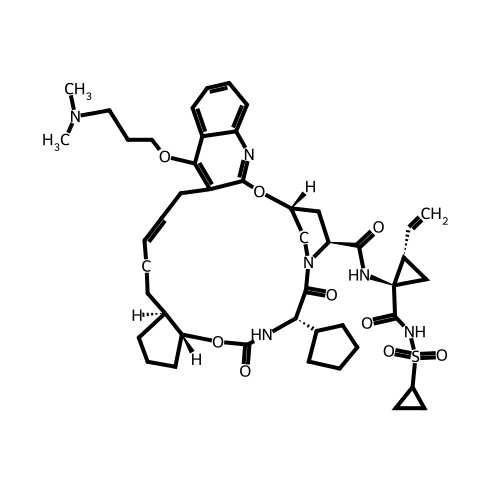 C=C[C@@H]1C[C@]1(NC(=O)[C@@H]1C[C@@H]2CN1C(=O)[C@H](C1CCCC1)NC(=O)O[C@@H]1CCC[C@H]1CCC=CCc1c(nc3ccccc3c1OCCCN(C)C)O2)C(=O)NS(=O)(=O)C1CC1